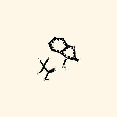 Cn1c(=S)sc2ccccc21.O=C(O)C(F)(F)F